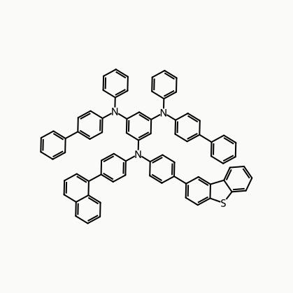 c1ccc(-c2ccc(N(c3ccccc3)c3cc(N(c4ccccc4)c4ccc(-c5ccccc5)cc4)cc(N(c4ccc(-c5ccc6sc7ccccc7c6c5)cc4)c4ccc(-c5cccc6ccccc56)cc4)c3)cc2)cc1